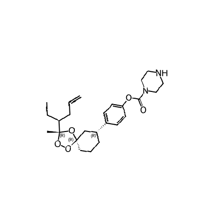 C=CCC(CC)[C@@]1(C)OO[C@@]2(CCC[C@@H](c3ccc(OC(=O)N4CCNCC4)cc3)C2)O1